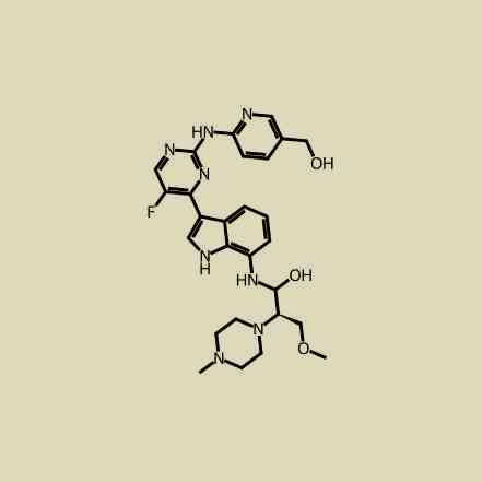 COC[C@H](C(O)Nc1cccc2c(-c3nc(Nc4ccc(CO)cn4)ncc3F)c[nH]c12)N1CCN(C)CC1